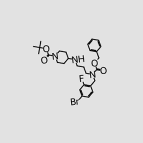 CC(C)(C)OC(=O)N1CCC(NCCCN(Cc2ccc(Br)cc2F)C(=O)OCc2ccccc2)CC1